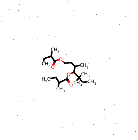 CCC(C)C(=O)OCCC(C)C(OC(=O)C(C)CC)C(C)(C)CC